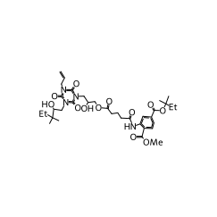 C=CCn1c(=O)n(CC(O)COC(=O)CCCC(=O)Nc2cc(C(=O)OC(C)(C)CC)ccc2C(=O)OC)c(=O)n(CC(O)C(C)(C)CC)c1=O